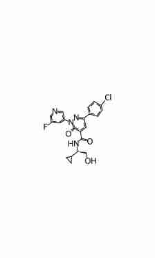 O=C(N[C@@H](CO)C1CC1)c1cc(-c2ccc(Cl)cc2)nn(-c2cncc(F)c2)c1=O